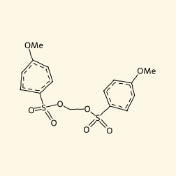 COc1ccc(S(=O)(=O)OCOS(=O)(=O)c2ccc(OC)cc2)cc1